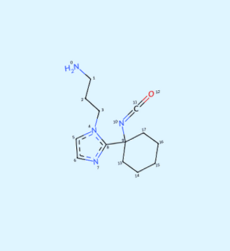 NCCCn1ccnc1C1(N=C=O)CCCCC1